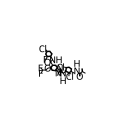 C=C(C)C(=O)NCc1ccc(Cl)c(Nc2nc3cc(C(=O)Nc4ccc(Cl)cc4F)c(OCC(F)F)cc3n2C)c1Cl